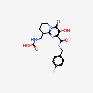 O=C(O)NCC1CCCn2c1nc(C(=O)NCc1ccc(F)cc1)c(O)c2=O